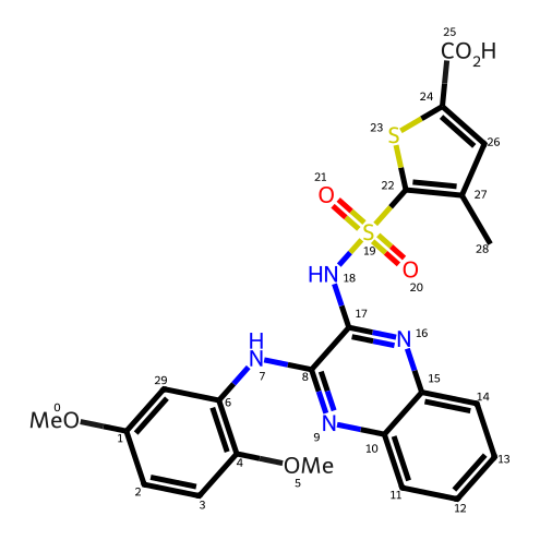 COc1ccc(OC)c(Nc2nc3ccccc3nc2NS(=O)(=O)c2sc(C(=O)O)cc2C)c1